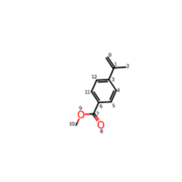 C=C(C)c1ccc(C(=O)OC)cc1